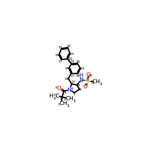 CC(C)(C)C(=O)N1CCC(NS(C)(=O)=O)C1Cc1cccc(-c2ccccc2)c1